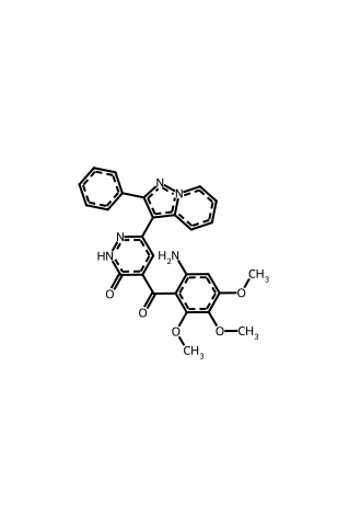 COc1cc(N)c(C(=O)c2cc(-c3c(-c4ccccc4)nn4ccccc34)n[nH]c2=O)c(OC)c1OC